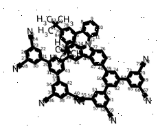 CC(C)(C)c1cc(-c2ccccc2-n2c3ccc(-c4cc(-c5cc(C#N)cc(C#N)c5)cc(-c5cc(C#N)cc(C#N)c5)c4)cc3c3cc(-c4cc(-c5cc(C#N)cc(C#N)c5)cc(-c5cc(C#N)cc(C#N)c5)c4)ccc32)cc(C(C)(C)C)c1